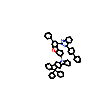 c1ccc(-c2ccc(-c3nc(-c4cc(-c5ccccc5)cc5oc6cc(-n7c8ccccc8c8cc9c(cc87)-c7ccccc7C9(c7ccccc7)c7ccccc7)ccc6c45)nc4ccccc34)cc2)cc1